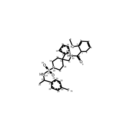 COC1=CC=CCC1C(=O)NCC1(c2cccs2)CCN(S(=O)(=O)NC(C)c2ccc(F)cc2)CC1